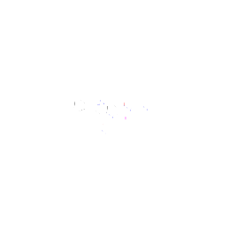 O=C(NCCN1CCOCC1)c1c(O)c2ncc(Cc3ccc(F)cc3)cc2n(CC(=O)N2CCCC2)c1=O